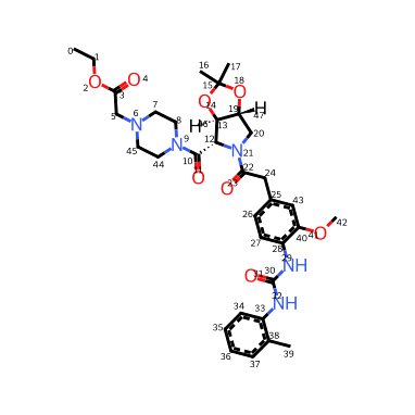 CCOC(=O)CN1CCN(C(=O)[C@@H]2[C@H]3OC(C)(C)O[C@@H]3CN2C(=O)Cc2ccc(NC(=O)Nc3ccccc3C)c(OC)c2)CC1